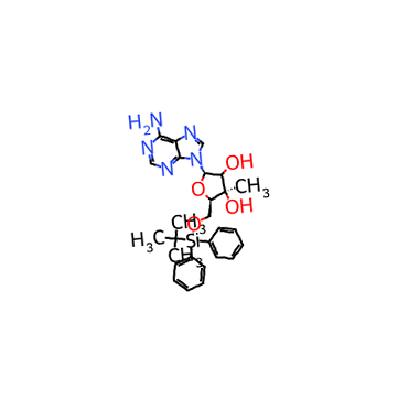 CC(C)(C)[Si](OC[C@H]1O[C@@H](n2cnc3c(N)ncnc32)C(O)[C@@]1(C)O)(c1ccccc1)c1ccccc1